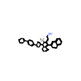 C=c1c(-c2ccc(-c3ccc(-c4ccccc4)cc3)cc2)c2ccccc2c(-c2ccc3ccccc3c2)/c1=C/C=N